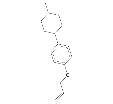 C=CCOc1ccc(C2CCC(C)CC2)cc1